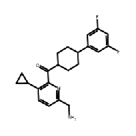 NCc1ccc(C2CC2)c(C(=O)C2CCC(c3cc(F)cc(F)c3)CC2)n1